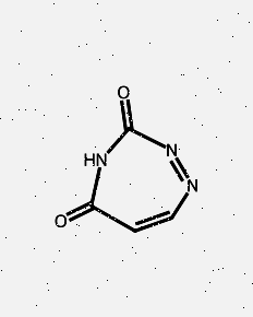 O=c1ccnnc(=O)[nH]1